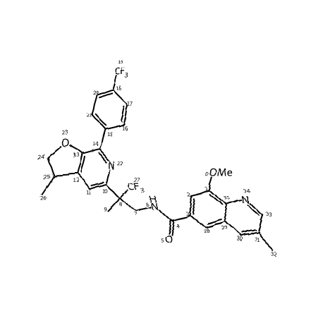 COc1cc(C(=O)NCC(C)(c2cc3c(c(-c4ccc(C(F)(F)F)cc4)n2)OCC3C)C(F)(F)F)cc2cc(C)cnc12